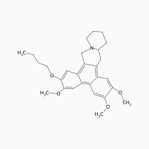 CCCCOc1cc2c3c(c4cc(OC)c(OC)cc4c2cc1OC)CC1CCCCN1C3